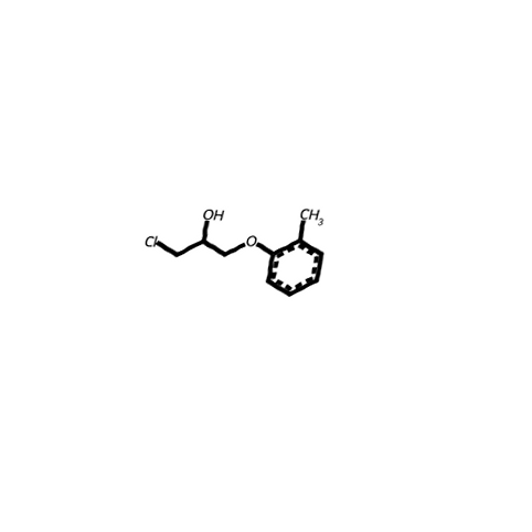 Cc1ccccc1OCC(O)CCl